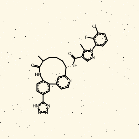 Cc1c(C(=O)N[C@H]2CCCC(C)C(=O)Nc3ccc(-c4nnn[nH]4)cc3-c3ccnc2c3)cnn1-c1cccc(Cl)c1F